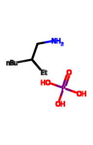 CCCCC(CC)CN.O=P(O)(O)O